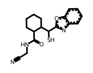 N#CCNC(=O)C1CCCCC1C(S)c1nc2ccccc2o1